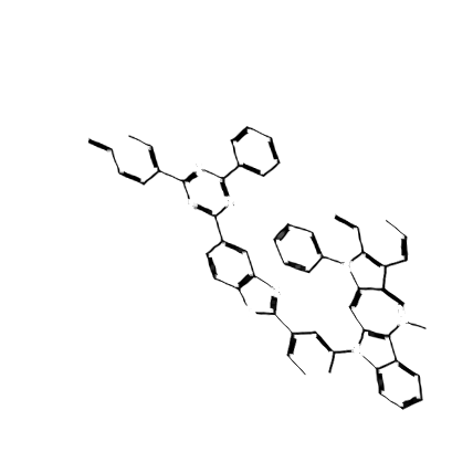 C=C/C=C\C(=C/C)c1nc(-c2ccccc2)nc(-c2ccc3sc(C(=C/C)/C=C(\C)n4c(/C=c5\c(=C)c(/C=C\C)c(C=C)n5-c5ccccc5)c(BC)c5ccccc54)nc3c2)n1